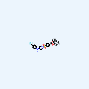 CC1(C)OB(c2ccc(S(=O)(=O)N3CCC(Nc4ccc(C(F)(F)F)cc4)CC3)cc2)OC1(C)C